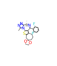 Cc1nnc2n1-c1sc3c(c1C(c1c(F)cccc1F)=N[C@H]2C)CCCC1(C3)OCCO1